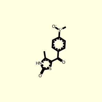 Cc1[nH]c(=O)sc1C(=O)c1ccc([S+](C)[O-])cc1